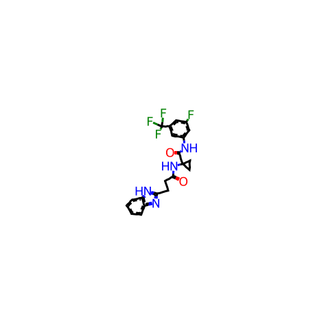 O=C(CCc1nc2ccccc2[nH]1)NC1(C(=O)Nc2cc(F)cc(C(F)(F)F)c2)CC1